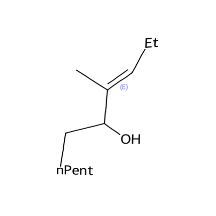 CC/C=C(\C)C(O)CCCCCC